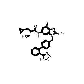 CCCc1nc2c(C)cc(NC(=O)[C@H](CS)CC3CC3)cc2n1Cc1ccc(-c2ccccc2-c2nnn[nH]2)cc1